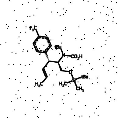 C/C=C/[C@H](c1ccc(C(F)(F)F)cc1)[C@H](CO[Si](C)(C)C(C)(C)C)N(C(=O)O)C(C)(C)C